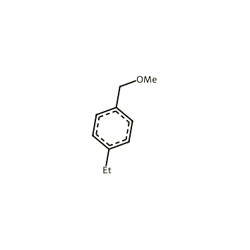 [CH2]Cc1ccc(COC)cc1